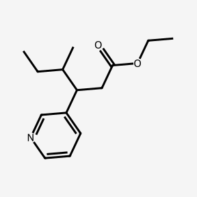 CCOC(=O)CC(c1cccnc1)C(C)CC